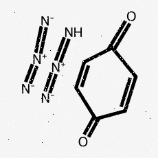 O=C1C=CC(=O)C=C1.[N-]=[N+]=N.[N-]=[N+]=[N-]